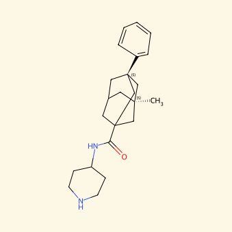 C[C@@]12CC3CC(C(=O)NC4CCNCC4)(C1)C[C@](c1ccccc1)(C3)C2